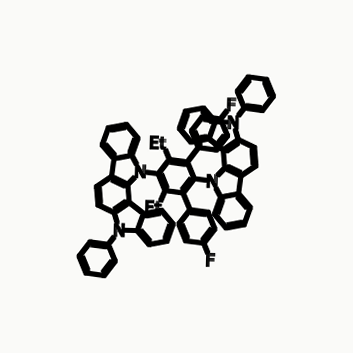 CCc1c(-c2ccc(F)cc2)c(-n2c3ccccc3c3ccc4c(c5ccccc5n4-c4ccccc4)c32)c(-c2ccc(F)cc2)c(CC)c1-n1c2ccccc2c2ccc3c(c4ccccc4n3-c3ccccc3)c21